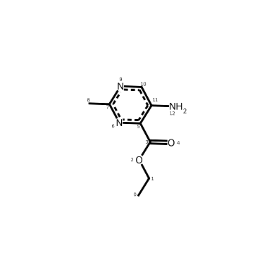 CCOC(=O)c1nc(C)ncc1N